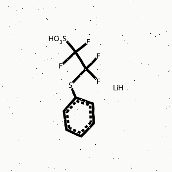 O=S(=O)(O)C(F)(F)C(F)(F)Sc1ccccc1.[LiH]